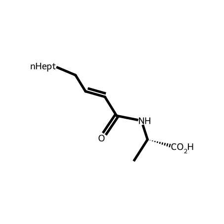 CCCCCCCCC=CC(=O)N[C@@H](C)C(=O)O